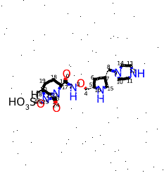 O=C(NOC[C@@H]1C[C@H](CN2CCNCC2)CN1)[C@@H]1CC[C@@H]2CN1C(=O)N2OS(=O)(=O)O